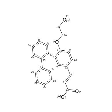 O=C(O)/C=C/c1ccc(OCCO)cc1.c1ccc(-c2ccccc2)cc1